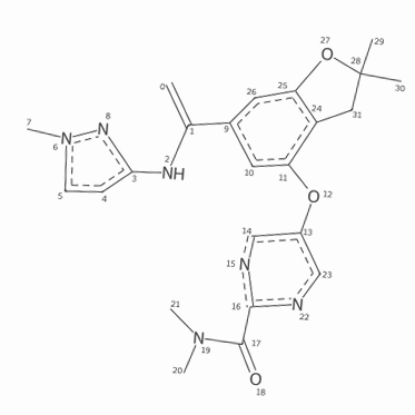 C=C(Nc1ccn(C)n1)c1cc(Oc2cnc(C(=O)N(C)C)nc2)c2c(c1)OC(C)(C)C2